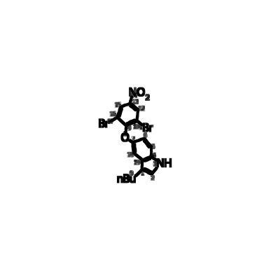 CCCCc1c[nH]c2ccc(Oc3c(Br)cc([N+](=O)[O-])cc3Br)cc12